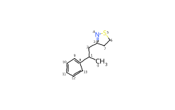 CC(CC1=NSCC1)c1ccccc1